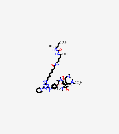 CCN(C)C/C(O)=C\[C@@]1(/C(C)=C(/O)CN(C)C(C)Cc2ccc(Nc3nc(NCCCCCCCC(=O)NCCCC[C@H](NC(=O)N[C@@H](CCC(=O)O)C(=O)O)C(=O)O)nc(N4CCCCC4)n3)cc2)/C=C(/O)CN(C)CCN(CC(=O)O)[C@@H]1C